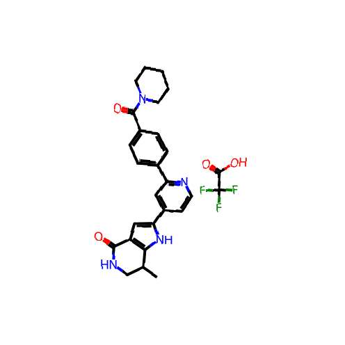 CC1CNC(=O)c2cc(-c3ccnc(-c4ccc(C(=O)N5CCCCC5)cc4)c3)[nH]c21.O=C(O)C(F)(F)F